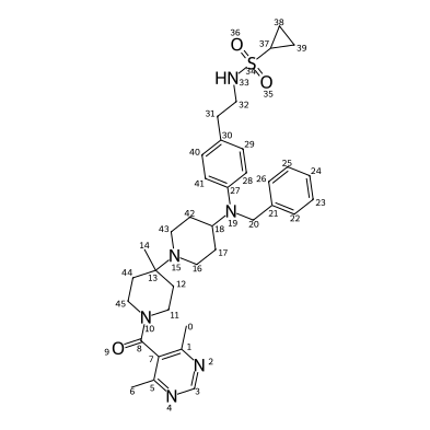 Cc1ncnc(C)c1C(=O)N1CCC(C)(N2CCC(N(Cc3ccccc3)c3ccc(CCNS(=O)(=O)C4CC4)cc3)CC2)CC1